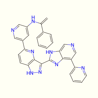 C=C(Nc1cncc(-c2ccc3[nH]nc(-c4nc5c(-c6ccccn6)cncc5[nH]4)c3n2)c1)c1ccccc1